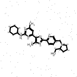 Cc1cc(-c2sc(-c3ccc(CN4CCCC4CO)cn3)nc2N)nc(NC2CCCCC2)n1